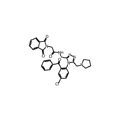 O=C(CN1C(=O)c2ccccc2C1=O)NCc1nnc(CN2CCCC2)n1-c1ccc(Cl)cc1C(=O)c1ccccc1